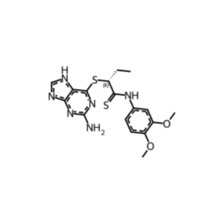 CC[C@@H](Sc1nc(N)nc2nc[nH]c12)C(=S)Nc1ccc(OC)c(OC)c1